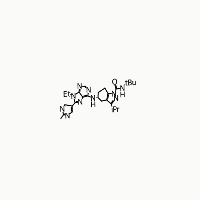 CCn1c(-c2cnc(C)nc2)nc2c(N[C@@H]3CCc4c(c(C(C)C)nn4C(=O)NC(C)(C)C)C3)ncnc21